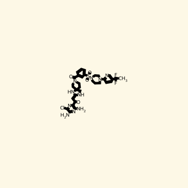 CC(F)(F)c1ccc(N2CCCN(S(=O)(=O)c3cccc(C(=O)N4CCC5(CC4)CN/C(=C\C(=O)c4nc(Cl)c(N)nc4N)N5)c3)CC2)nc1